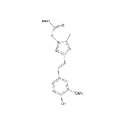 COC(=O)Cn1nc(C=Cc2ccc(O)c(OC)c2)cc1C